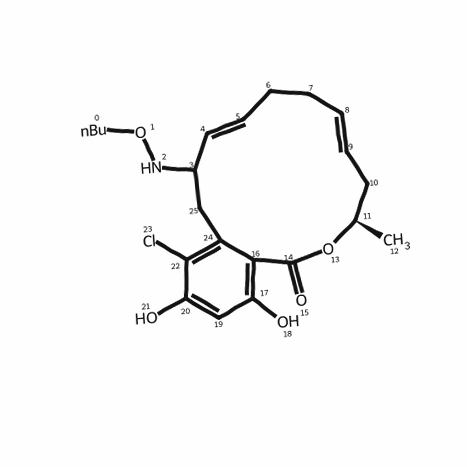 CCCCONC1/C=C/CC/C=C/C[C@@H](C)OC(=O)c2c(O)cc(O)c(Cl)c2C1